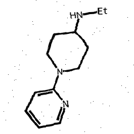 CCNC1CCN(c2ccccn2)CC1